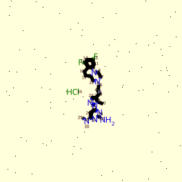 Cc1c(/C=C/CN2CCN3c4cc(F)cc(F)c4CCC3C2)cnn1-c1cc(N(C)C)nc(N)n1.Cl